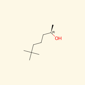 C[C@@H](O)CCCC(C)(C)C